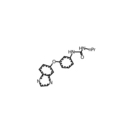 CCCNC(=O)Nc1cccc(Oc2ccc3nccnc3c2)c1